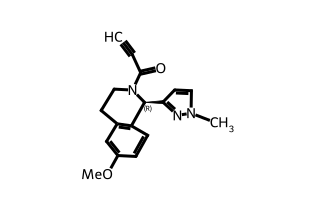 C#CC(=O)N1CCc2cc(OC)ccc2[C@@H]1c1ccn(C)n1